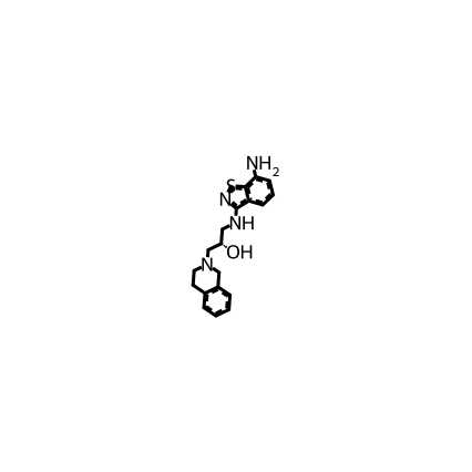 Nc1cccc2c(NC[C@H](O)CN3CCc4ccccc4C3)nsc12